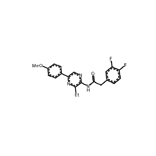 CCc1nc(-c2ccc(OC)cc2)cnc1NC(=O)Cc1ccc(F)c(F)c1